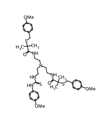 COc1ccc(CSC(C)(C)C(=O)NCCN(CCNC(=O)C(C)(C)SCc2ccc(OC)cc2)CCNC(=S)Nc2ccc(OC)cc2)cc1